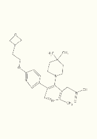 Cc1ncc(-c2ccc(OCCC3COC3)nc2)c(N2CCC(C)(C)CC2)c1CC(=O)O